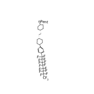 CCCCC[C@H]1CC[C@H](CC[C@H]2CC[C@H](c3ccc(C(F)(F)C(F)(F)C(F)(F)C(F)(F)C(F)(F)C(F)(F)C(F)(F)C(F)(F)F)cc3)CC2)CC1